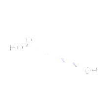 O=C(O)CCCCC/C=C/C=C/CO